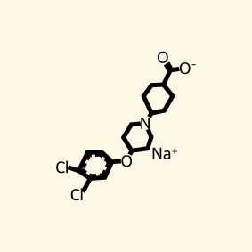 O=C([O-])C1CCC(N2CCC(Oc3ccc(Cl)c(Cl)c3)CC2)CC1.[Na+]